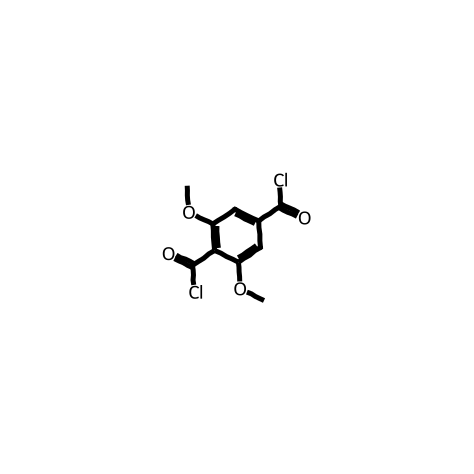 COc1cc(C(=O)Cl)cc(OC)c1C(=O)Cl